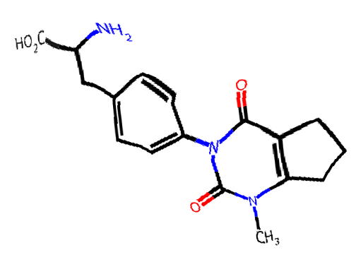 Cn1c2c(c(=O)n(-c3ccc(CC(N)C(=O)O)cc3)c1=O)CCC2